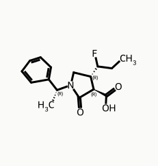 CCC(F)[C@H]1CN([C@H](C)c2ccccc2)C(=O)[C@@H]1C(=O)O